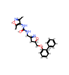 Cc1noc(C)c1NC(=O)NCC1=NOC(COc2ccccc2-c2ccccc2)C1